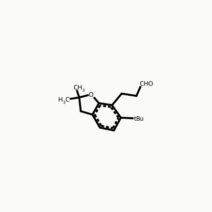 CC1(C)Cc2ccc(C(C)(C)C)c(CCC=O)c2O1